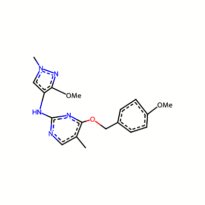 COc1ccc(COc2nc(Nc3cn(C)nc3OC)ncc2C)cc1